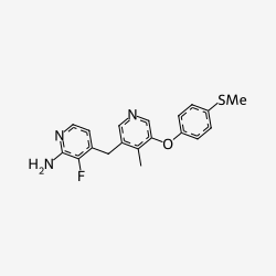 CSc1ccc(Oc2cncc(Cc3ccnc(N)c3F)c2C)cc1